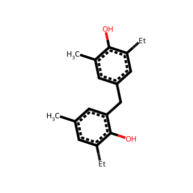 CCc1cc(Cc2cc(C)cc(CC)c2O)cc(C)c1O